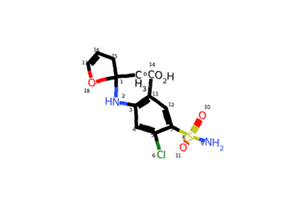 CC1(Nc2cc(Cl)c(S(N)(=O)=O)cc2C(=O)O)CC=CO1